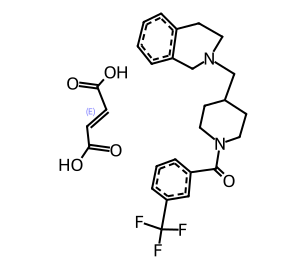 O=C(O)/C=C/C(=O)O.O=C(c1cccc(C(F)(F)F)c1)N1CCC(CN2CCc3ccccc3C2)CC1